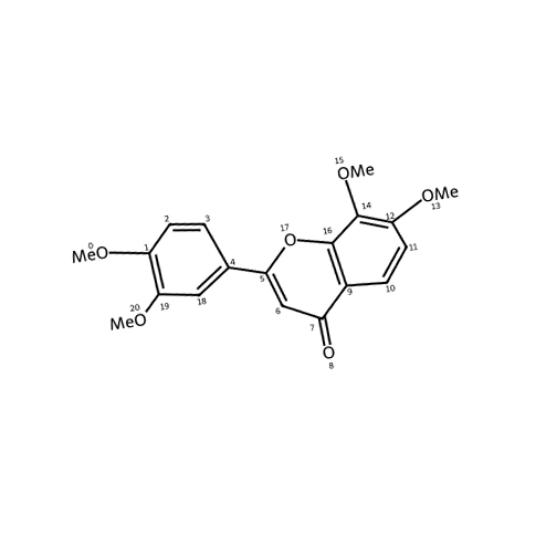 COc1ccc(-c2cc(=O)c3ccc(OC)c(OC)c3o2)cc1OC